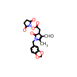 CC1=C(C=O)C(CC(=O)ON2C(=O)CCC2=O)C(=O)N1Cc1ccc2c(c1)OCO2